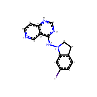 Ic1ccc2c(c1)N(Nc1ncnc3ccncc13)CC2